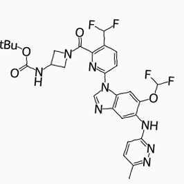 Cc1ccc(Nc2cc3ncn(-c4ccc(C(F)F)c(C(=O)N5CC(NC(=O)OC(C)(C)C)C5)n4)c3cc2OC(F)F)nn1